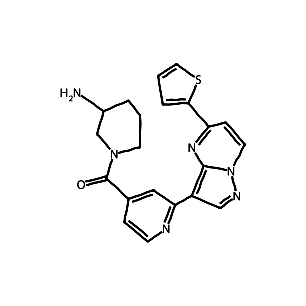 NC1CCCN(C(=O)c2ccnc(-c3cnn4ccc(-c5cccs5)nc34)c2)C1